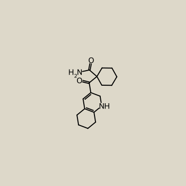 NC(=O)C1(C(=O)C2=CC3=C(CCCC3)NC2)CCCCC1